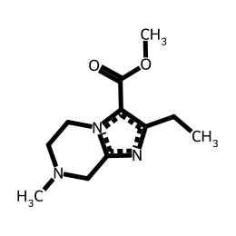 CCc1nc2n(c1C(=O)OC)CCN(C)C2